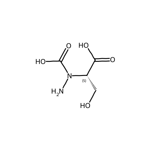 NN(C(=O)O)[C@@H](CO)C(=O)O